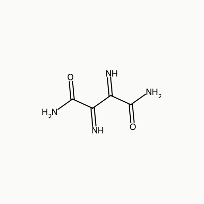 N=C(C(=N)C(N)=O)C(N)=O